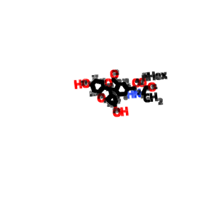 C=C(NC(=O)c1ccc2c(c1)C(=O)OC21c2ccc(O)cc2Oc2cc(O)ccc21)C(=O)OCCCCCC